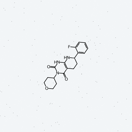 O=c1[nH]c2c(c(=O)n1C1CCOCC1)CCC(c1ccccc1F)N2